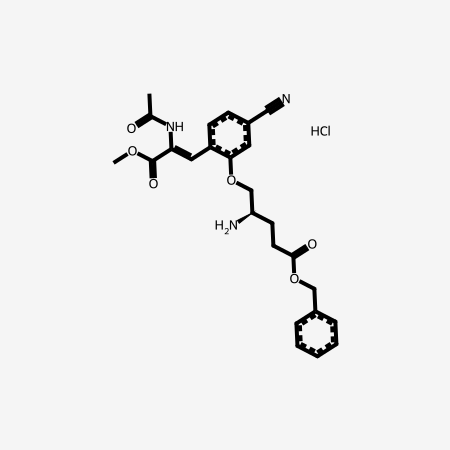 COC(=O)C(=Cc1ccc(C#N)cc1OC[C@H](N)CCC(=O)OCc1ccccc1)NC(C)=O.Cl